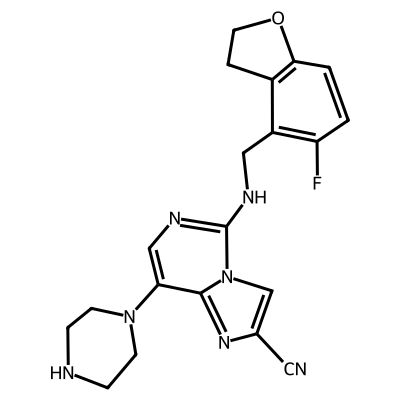 N#Cc1cn2c(NCc3c(F)ccc4c3CCO4)ncc(N3CCNCC3)c2n1